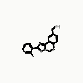 COc1ccc2ncn3nc(-c4ccccc4F)nc3c2c1